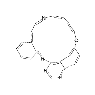 C1=C\N=C/C=c2/cccc/c2=N/c2ncnc3ccc(cc23)O\C=C/1